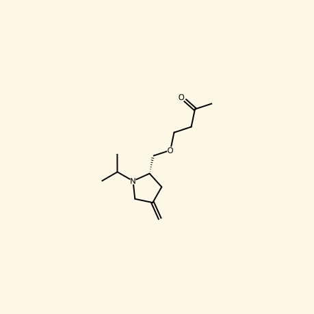 C=C1C[C@@H](COCCC(C)=O)N(C(C)C)C1